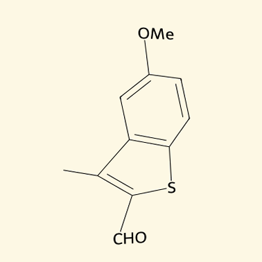 COc1ccc2sc(C=O)c(C)c2c1